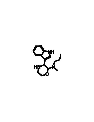 CCCN(C)C1OCCNC1c1c[nH]c2ccccc12